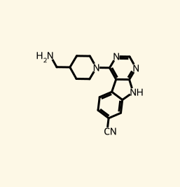 N#Cc1ccc2c(c1)[nH]c1ncnc(N3CCC(CN)CC3)c12